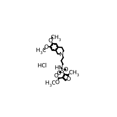 COC(=O)c1coc(C)c1S(=O)(=O)NCCCN1CCc2cc(OC)c(OC)cc2C1.Cl